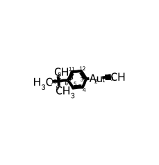 C#[C][Au][c]1ccc(C(C)(C)C)cc1